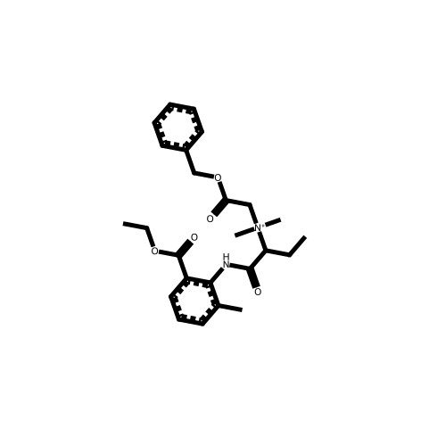 CCOC(=O)c1cccc(C)c1NC(=O)C(CC)[N+](C)(C)CC(=O)OCc1ccccc1